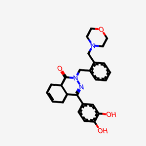 O=C1C2CC=CCC2C(c2ccc(O)c(O)c2)=NN1Cc1ccccc1CN1CCOCC1